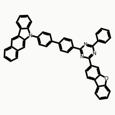 c1ccc(-c2nc(-c3ccc(-c4ccc(-n5c6ccccc6c6cc7ccccc7cc65)cc4)cc3)nc(-c3ccc4c(c3)oc3ccccc34)n2)cc1